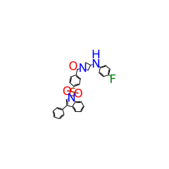 O=C(c1ccc(S(=O)(=O)n2cc(-c3ccccc3)c3ccccc32)cc1)N1CC(Nc2ccc(F)cc2)C1